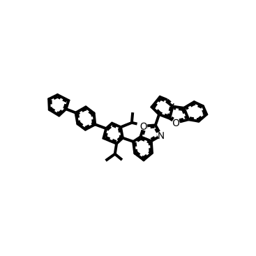 CC(C)c1cc(-c2ccc(-c3ccccc3)cc2)cc(C(C)C)c1-c1cccc2nc(-c3cccc4c3oc3ccccc34)oc12